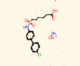 NO.O=C(O)CCCCCS(=O)(=O)Nc1ccc(-c2ccc(Cl)cc2)cc1